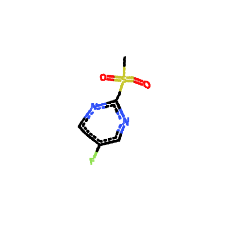 CS(=O)(=O)c1ncc(F)cn1